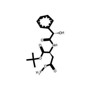 CC(C)(C)OC(=O)[C@H](CC(=O)OP)NC(=O)[C@@H](O)c1ccccc1